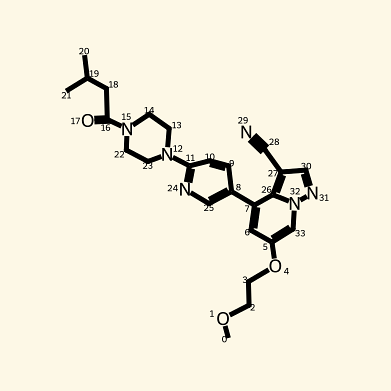 COCCOc1cc(-c2ccc(N3CCN(C(=O)CC(C)C)CC3)nc2)c2c(C#N)cnn2c1